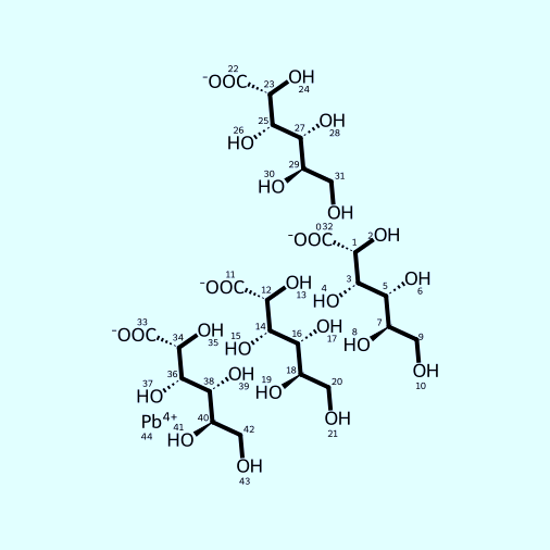 O=C([O-])[C@H](O)[C@@H](O)[C@H](O)[C@H](O)CO.O=C([O-])[C@H](O)[C@@H](O)[C@H](O)[C@H](O)CO.O=C([O-])[C@H](O)[C@@H](O)[C@H](O)[C@H](O)CO.O=C([O-])[C@H](O)[C@@H](O)[C@H](O)[C@H](O)CO.[Pb+4]